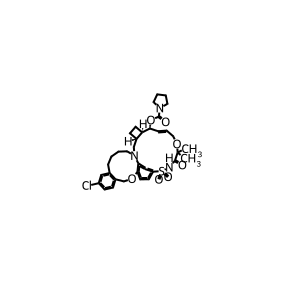 CC1(C)OC/C=C/[C@H](OC(=O)N2CCCC2)[C@@H]2CC[C@H]2CN2CCCCc3cc(Cl)ccc3COc3ccc(cc32)S(=O)(=O)NC1=O